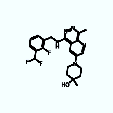 Cc1nnc(NCc2cccc(C(F)F)c2F)c2cc(N3CCC(C)(O)CC3)cnc12